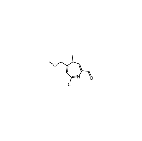 COCC1=CC(Cl)=NC(C=O)=CC1C